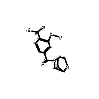 CCOc1cc(C(=O)N2CC3CCCC2CO3)ccc1C(O)O